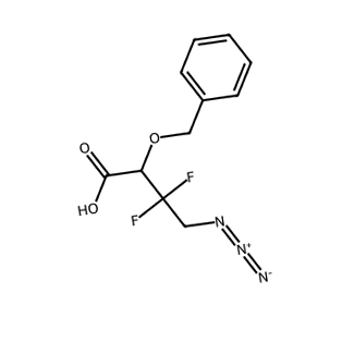 [N-]=[N+]=NCC(F)(F)C(OCc1ccccc1)C(=O)O